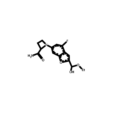 CCOC(O)c1cc2c(F)cc(N3CCC3C(N)=O)cc2o1